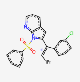 CC(C)/C=C(\c1cccc(Cl)c1)c1cc2cccnc2n1S(=O)(=O)c1ccccc1